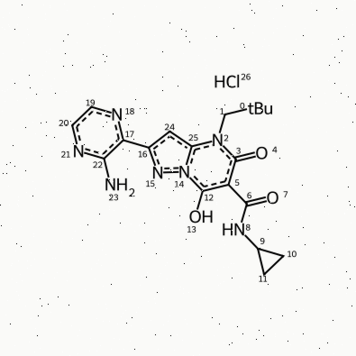 CC(C)(C)Cn1c(=O)c(C(=O)NC2CC2)c(O)n2nc(-c3nccnc3N)cc12.Cl